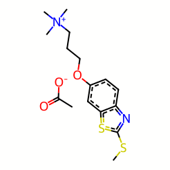 CC(=O)[O-].CSc1nc2ccc(OCCC[N+](C)(C)C)cc2s1